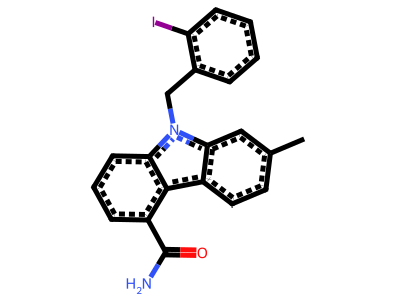 Cc1c[c]c2c3c(C(N)=O)cccc3n(Cc3ccccc3I)c2c1